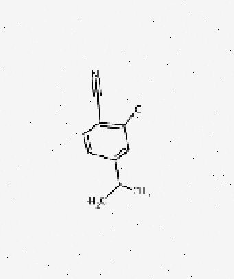 [CH2]C(C)c1ccc(C#N)c(Cl)c1